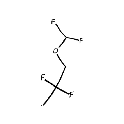 [CH2]C(F)(F)COC(F)F